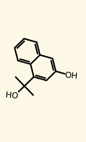 CC(C)(O)c1cc(O)cc2ccccc12